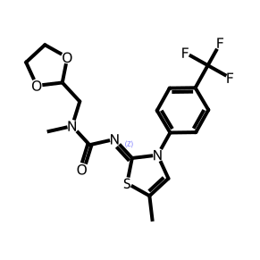 Cc1cn(-c2ccc(C(F)(F)F)cc2)/c(=N/C(=O)N(C)CC2OCCO2)s1